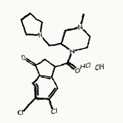 CN1CCN(C(=O)C2CC(=O)c3cc(Cl)c(Cl)cc32)C(CN2CCCC2)C1.Cl.Cl